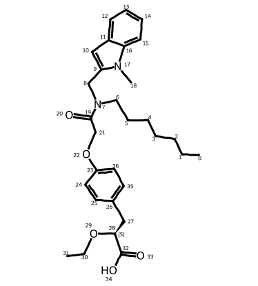 CCCCCCCN(Cc1cc2ccccc2n1C)C(=O)COc1ccc(C[C@H](OCC)C(=O)O)cc1